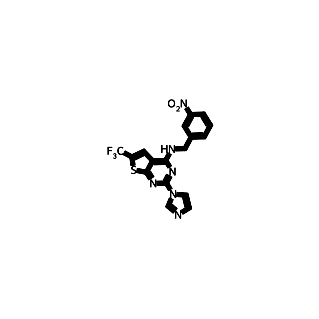 O=[N+]([O-])c1cccc(CNc2nc(-n3ccnc3)nc3sc(C(F)(F)F)cc23)c1